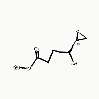 CC(C)(C)OC(=O)CCC(O)[C@@H]1CO1